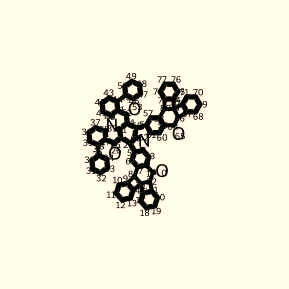 O=C1c2cc3c(cc2C2c4ccccc4C24c2ccccc2C14)c1c2c(=O)c4c(-c5ccccc5)cccc4n4c5cccc(-c6ccccc6)c5c(=O)c(c5c6cc7c(cc6n3c15)C(=O)C1c3ccccc3C13c1ccccc1C73)c24